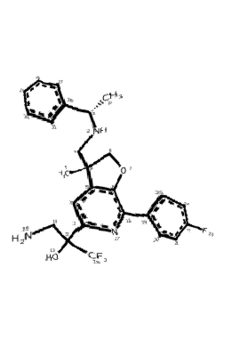 C[C@H](NC[C@]1(C)COc2c1cc(C(O)(CN)C(F)(F)F)nc2-c1ccc(F)cc1)c1ccccc1